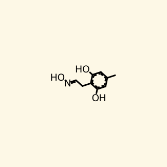 Cc1cc(O)c(CC=NO)c(O)c1